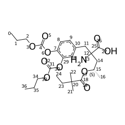 CCCOC(=O)Oc1ccc(CC(N)(C[C@H](C)OC(=O)C(C)(C)CC)C(=O)O)cc1OC(=O)OCCC